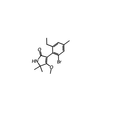 CCc1cc(C)cc(Br)c1C1=C(OC)C(C)(C)NC1=O